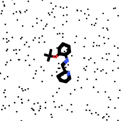 C[Si](C)(C)Oc1ccccc1/N=C/c1ccccn1